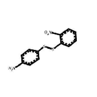 Nc1ccc(SSc2ccccc2[N+](=O)[O-])cc1